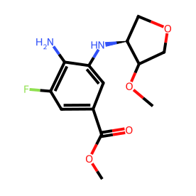 COC(=O)c1cc(F)c(N)c(N[C@H]2COCC2OC)c1